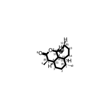 C[C@@H]1CC[C@H]2[C@@H](C)C(=O)O[C@@H]3O[C@H]4CC[C@@H]1[C@]32OO4